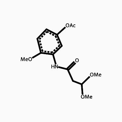 COc1ccc(OC(C)=O)cc1NC(=O)CC(OC)OC